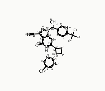 C[C@H](c1ccc(C(F)(F)F)nc1)n1nc(C#N)c2c(=O)[nH]c([C@H]3CC[C@@H]3c3ncc(Cl)cn3)nc21